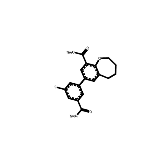 CNC(=O)c1cc(F)cc(-c2cc3c(c(C(=O)OC)c2)OCCCC3)c1